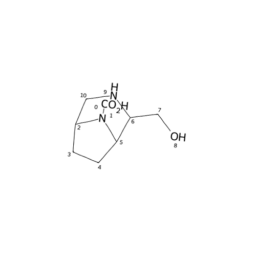 O=C(O)N1C2CCC1C(CO)NC2